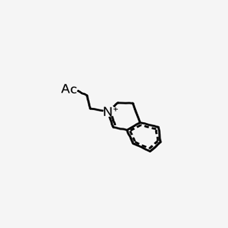 CC(=O)CC[N+]1=Cc2ccccc2CC1